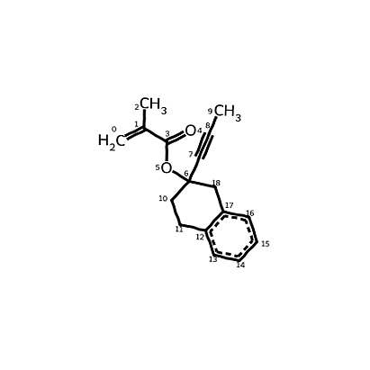 C=C(C)C(=O)OC1(C#CC)CCc2ccccc2C1